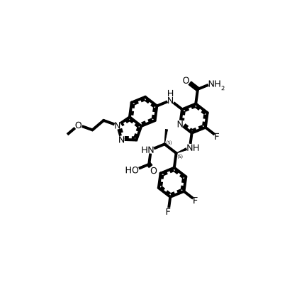 COCCn1ncc2cc(Nc3nc(N[C@@H](c4ccc(F)c(F)c4)[C@H](C)NC(=O)O)c(F)cc3C(N)=O)ccc21